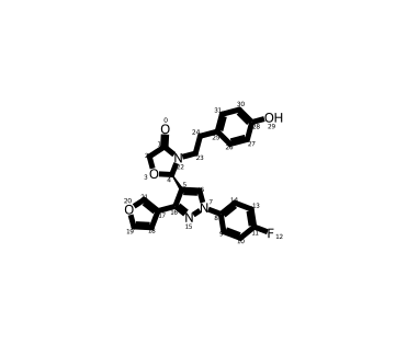 O=C1CO[C@H](c2cn(-c3ccc(F)cc3)nc2-c2ccoc2)N1CCc1ccc(O)cc1